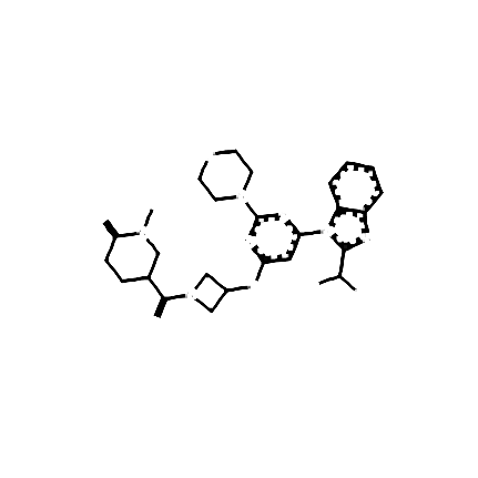 CN1CC(C(=O)N2CC(Oc3cc(-n4c(C(F)F)nc5ccccc54)nc(N4CCOCC4)n3)C2)CCC1=O